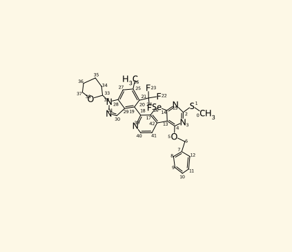 CSc1nc(OCc2ccccc2)c2c(n1)[se]c1c(-c3c(C(F)(F)F)c(C)cc4c3cnn4C3CCCCO3)nccc12